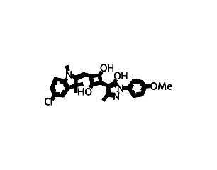 COc1ccc(-n2nc(C)c(C3C(O)C(C=C4N(C)c5ccc(Cl)cc5C4(C)C)C3O)c2O)cc1